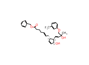 CC(O)(C=C[C@H]1[C@H](O)C=C[C@@H]1CC=CCCCC(=O)OCc1ccccc1)COc1cccc(C(F)(F)F)c1